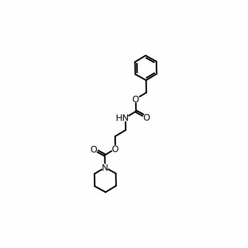 O=C(NCCOC(=O)N1CCCCC1)OCc1ccccc1